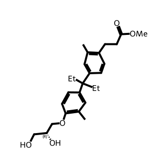 CCC(CC)(c1ccc(CCC(=O)OC)c(C)c1)c1ccc(OC[C@H](O)CO)c(C)c1